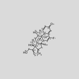 C=C1C[C@H]2[C@@H]3C=C(F)C4=CC(=O)C=C[C@]4(C)[C@@]3(Cl)C(O)C[C@]2(C)[C@@]1(O)C(=O)CO